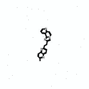 Cc1ccc2nc(CCc3cn4ccc5ncccc5c4n3)ccc2n1